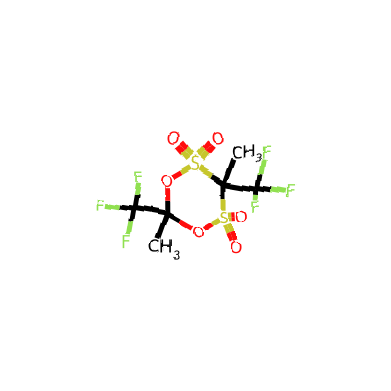 CC1(C(F)(F)F)OS(=O)(=O)C(C)(C(F)(F)F)S(=O)(=O)O1